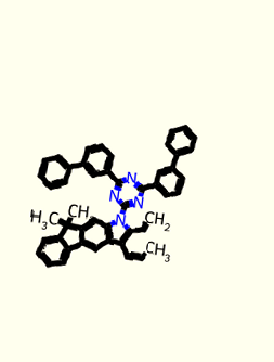 C=Cc1c(/C=C\C)c2cc3c(cc2n1-c1nc(-c2cccc(-c4ccccc4)c2)nc(-c2cccc(-c4ccccc4)c2)n1)C(C)(C)c1ccccc1-3